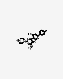 CCOc1nc(N2CCNCC2)nc2c1sc1nc(-c3ccc(I)cc3)cc(CC)c12